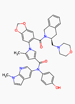 Cc1cc(C(=O)N(c2ccc(O)cc2)c2cnc3c(ccn3C)c2)cn1-c1cc2c(cc1C(=O)N1Cc3ccccc3C[C@H]1CN1CCOCC1)OCO2